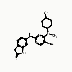 CN(c1nc(Nc2ccc3c(c2)NC(=O)C3)ncc1[N+](=O)[O-])C1CCC(O)CC1